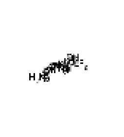 Cn1nc(-c2cc(C(F)(F)F)c(F)c(O)c2F)c2cnc(N3CCO[C@@H](Cc4cccc(C(N)=O)c4)C3)nc21